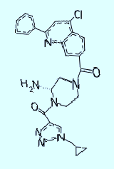 N[C@@H]1CN(C(=O)c2ccc3c(Cl)cc(-c4ccccc4)nc3c2)CCN1C(=O)c1cn(C2CC2)nn1